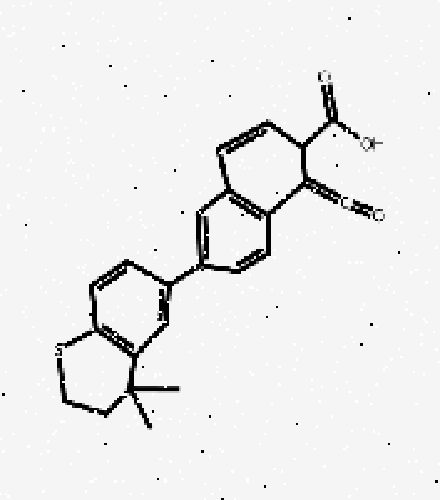 CC1(C)CCSc2ccc(-c3ccc4c(c3)C=CC(C(=O)O)C4=C=O)cc21